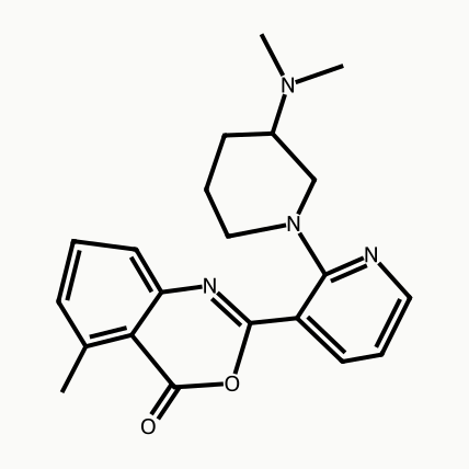 Cc1cccc2nc(-c3cccnc3N3CCCC(N(C)C)C3)oc(=O)c12